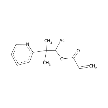 C=CC(=O)OC(C(C)=O)C(C)(C)c1ccccn1